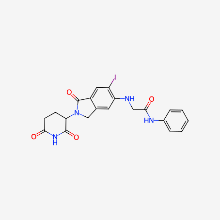 O=C1CCC(N2Cc3cc(NCC(=O)Nc4ccccc4)c(I)cc3C2=O)C(=O)N1